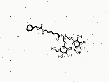 O=C(CCCCCNC(=O)OCc1ccccc1)N[C@@H](CCO[C@H]1O[C@H](CO)[C@@H](O)[C@H](O)[C@@H]1O)CO[C@H]1O[C@H](CO)[C@@H](O)[C@H](O)[C@@H]1O